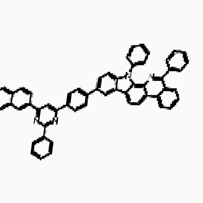 c1ccc(-c2nc(-c3ccc(-c4ccc5c(c4)c4ccc6c7ccccc7c(-c7ccccc7)nc6c4n5-c4ccccc4)cc3)cc(-c3ccc4ccccc4c3)n2)cc1